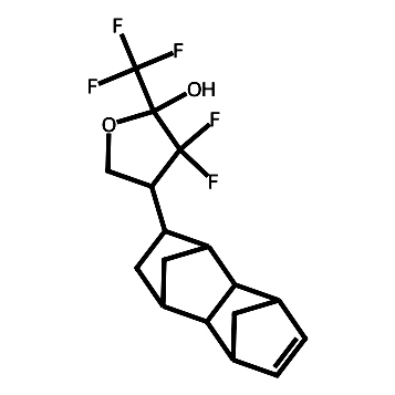 OC1(C(F)(F)F)OCC(C2CC3CC2C2C4C=CC(C4)C32)C1(F)F